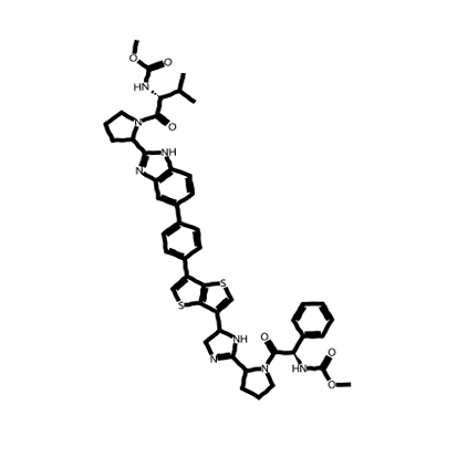 COC(=O)N[C@@H](C(=O)N1CCCC1C1=NCC(c2csc3c(-c4ccc(-c5ccc6[nH]c(C7CCCN7C(=O)[C@H](NC(=O)OC)C(C)C)nc6c5)cc4)csc23)N1)c1ccccc1